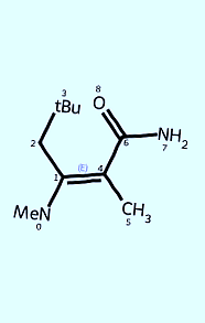 CN/C(CC(C)(C)C)=C(\C)C(N)=O